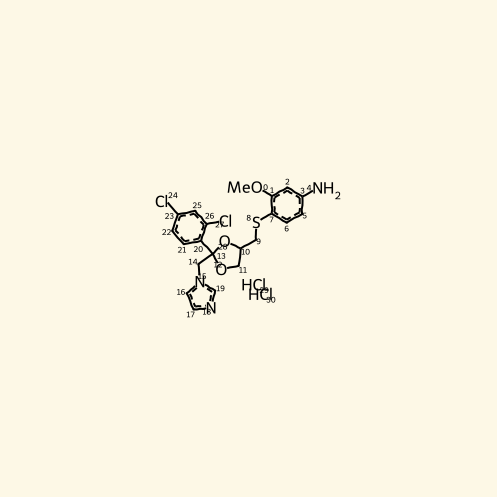 COc1cc(N)ccc1SCC1COC(Cn2ccnc2)(c2ccc(Cl)cc2Cl)O1.Cl.Cl